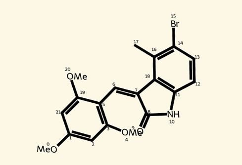 COc1cc(OC)c(C=C2C(=O)Nc3ccc(Br)c(C)c32)c(OC)c1